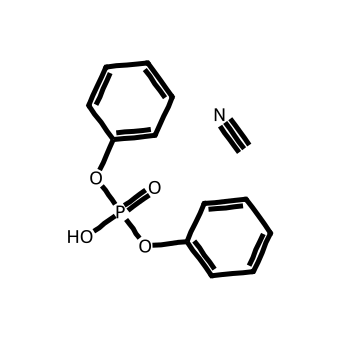 C#N.O=P(O)(Oc1ccccc1)Oc1ccccc1